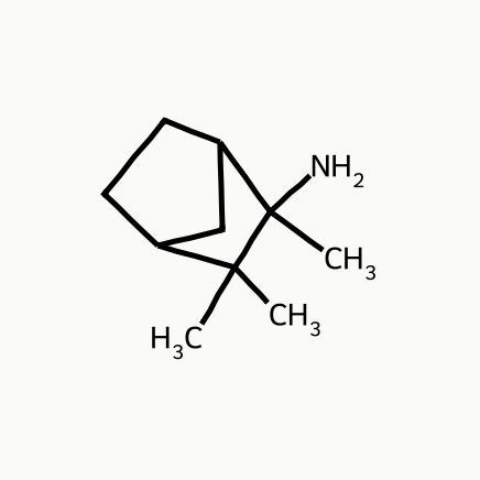 CC1(C)C2CCC(C2)C1(C)N